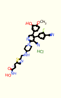 COc1ccc(-c2cnc(N3CCC(NCc4ncc(/C=C/C(=O)NO)s4)CC3)c(C#N)c2-c2ccc(C#N)c(F)c2)cc1O.Cl